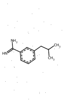 C[C](C)Cc1cccc(C(=N)N)c1